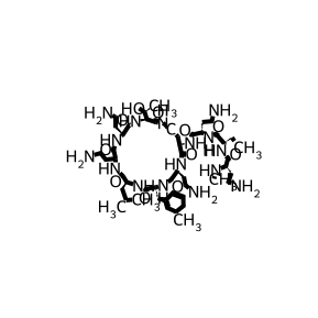 CC[C@H](NC(=O)[C@H](CCN)NC)C(=O)N[C@@H](CCN)C(=O)N[C@H]1CCNC(=O)[C@H]([C@@H](C)O)NC(=O)[C@H](CCN)NC(=O)C(CCN)NC(=O)[C@H](CC(C)C)NC(=O)[C@@H](CC2=CC(C)CC=C2)NC(=O)[C@H](CCN)NC1=O